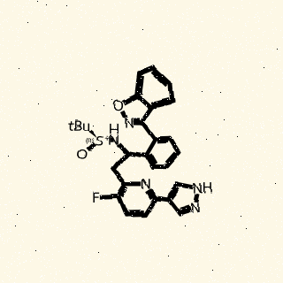 CC(C)(C)[S@+]([O-])NC(Cc1nc(-c2cn[nH]c2)ccc1F)c1ccccc1-c1noc2ccccc12